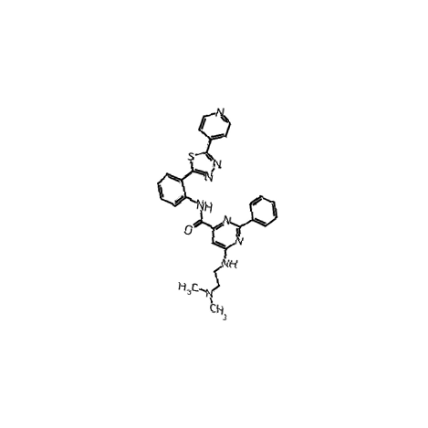 CN(C)CCNc1cc(C(=O)Nc2ccccc2-c2nnc(-c3ccncc3)s2)nc(-c2ccccc2)n1